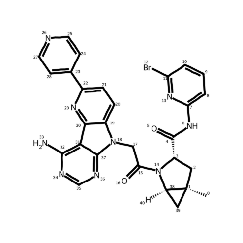 C[C@@]12C[C@@H](C(=O)Nc3cccc(Br)n3)N(C(=O)Cn3c4ccc(-c5ccncc5)nc4c4c(N)ncnc43)[C@@H]1C2